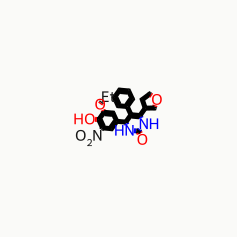 CCOc1cc(C2NC(=O)NC(C3CCOC3)=C2c2ccccc2)cc([N+](=O)[O-])c1O